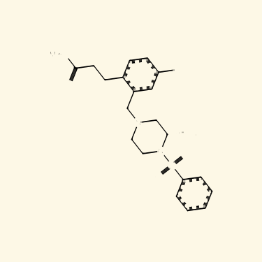 COC(=O)CCc1ccc(Cl)cc1CN1CCN(S(=O)(=O)c2ccccc2)[C@@H](C)C1